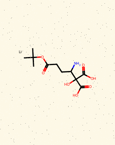 CC(C)(C)OC(=O)CCC(N)C(O)(C(=O)O)C(=O)O.[Li]